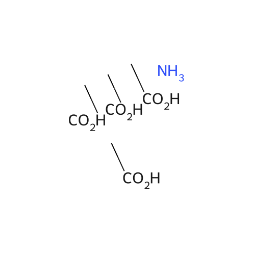 CC(=O)O.CC(=O)O.CC(=O)O.CC(=O)O.N